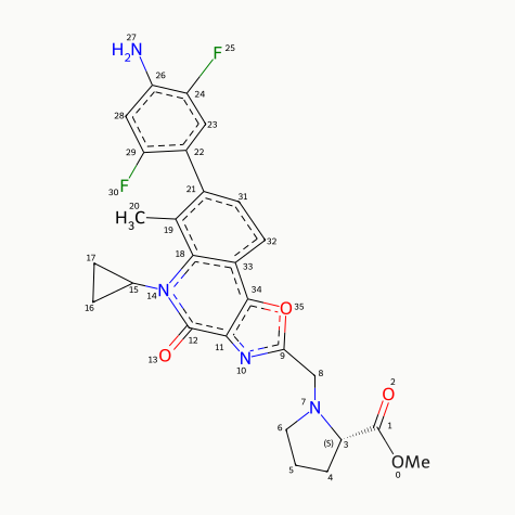 COC(=O)[C@@H]1CCCN1Cc1nc2c(=O)n(C3CC3)c3c(C)c(-c4cc(F)c(N)cc4F)ccc3c2o1